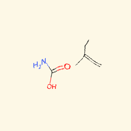 C=C(C)C.NC(=O)O